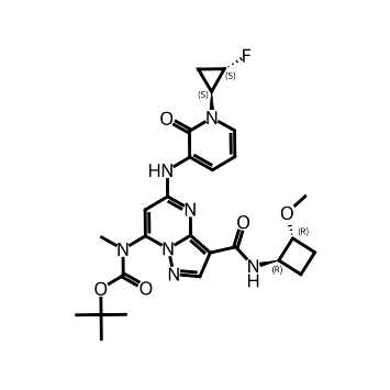 CO[C@@H]1CC[C@H]1NC(=O)c1cnn2c(N(C)C(=O)OC(C)(C)C)cc(Nc3cccn([C@H]4C[C@@H]4F)c3=O)nc12